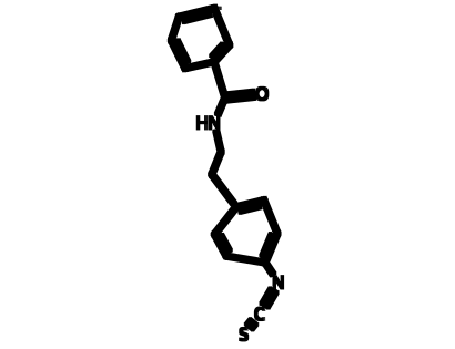 O=C(NCCc1ccc(N=C=S)cc1)c1c[c]ccc1